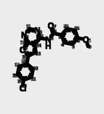 COc1ccc(C(=O)Nc2ncnc3oc(-c4ccc(Cl)cc4)cc23)cc1